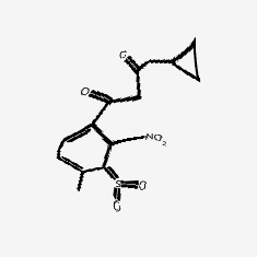 CC1=CC=C(C(=O)CC(=O)C2CC2)C([N+](=O)[O-])C1=S(=O)=O